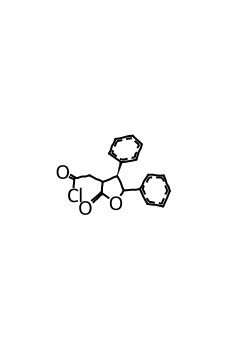 O=C(Cl)CC1C(=O)OC(c2ccccc2)[C@@H]1c1ccccc1